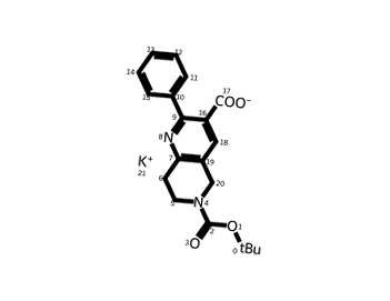 CC(C)(C)OC(=O)N1CCc2nc(-c3ccccc3)c(C(=O)[O-])cc2C1.[K+]